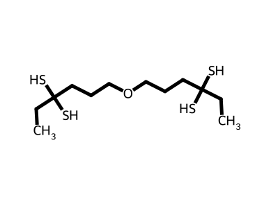 CCC(S)(S)CCCOCCCC(S)(S)CC